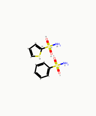 NS(=O)(=O)c1ccccc1.NS(=O)(=O)c1cccs1